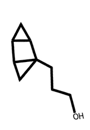 OCCCC12CC1C1CC12